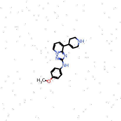 COc1ccc(Nc2nc3c(C4=CCNCC4)cccn3n2)cc1